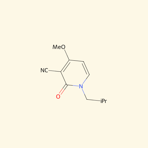 COc1ccn(CC(C)C)c(=O)c1C#N